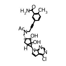 CC(=O)N(CC#Cc1ccc(C)c(C(N)=O)c1)C[C@H]1C[C@H]2C(n3ccc4c(Cl)ncnc43)[C@@]2(O)[C@@H]1O